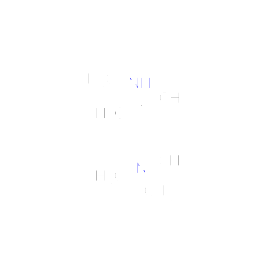 CNC(C)(C)CC[N+](C)(C)C